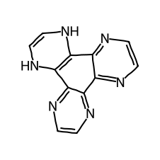 C1=CNc2c(c3nccnc3c3nccnc23)N1